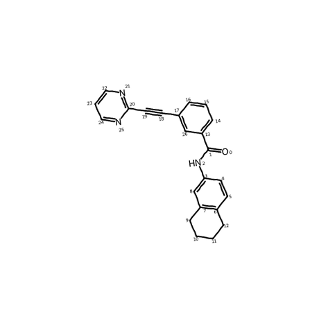 O=C(Nc1ccc2c(c1)CCCC2)c1cccc(C#Cc2ncccn2)c1